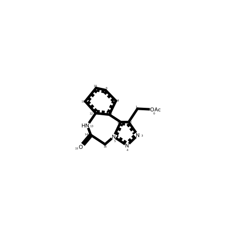 CC(=O)OCc1nnn2c1-c1ccccc1NC(=O)C2